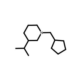 CC(C)C1CCCN(CC2CCCC2)C1